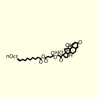 CCCCCCCC/C=C\CCCCCCCC(=O)OC(=O)CCC(=O)OCC(=O)[C@@]1(O)CC[C@H]2[C@@H]3CCC4=CC(=O)C=C[C@]4(C)[C@H]3[C@@H](O)C[C@@]21C